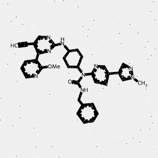 C#Cc1cnc(NC2CCC(N(C(=O)NCc3ccccc3)c3ccc(-c4cnn(C)c4)cn3)CC2)nc1-c1cccnc1OC